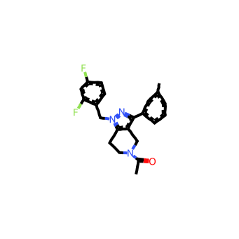 CC(=O)N1CCc2c(c(-c3cccc(C)c3)nn2Cc2ccc(F)cc2F)C1